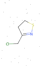 ClCC1=NSCC1